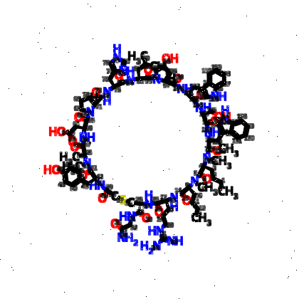 CCCC[C@H]1C(=O)N(C)[C@@H](CCCC)C(=O)N[C@@H](CCCNC(=N)N)C(=O)N[C@H](C(=O)NCC(N)=O)CSCC(=O)N[C@@H](Cc2ccc(O)cc2)C(=O)N(C)[C@@H](C)C(=O)N[C@@H](CC(=O)O)C(=O)N2CCC[C@H]2C(=O)N[C@@H](Cc2c[nH]cn2)C(=O)N[C@@H](CC(C)C)C(=O)N2C[C@H](O)C[C@H]2C(=O)N[C@@H](Cc2c[nH]c3ccccc23)C(=O)N[C@@H](CO)C(=O)N[C@@H]([C@@H](C)c2c[nH]c3ccccc23)C(=O)N1C